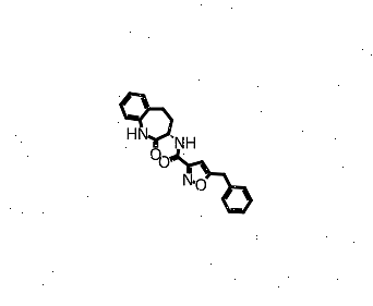 O=C(N[C@H]1CCc2ccccc2NC1=O)c1cc(Cc2ccccc2)on1